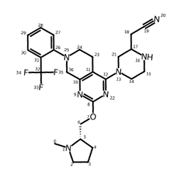 CN1CCC[C@H]1COc1nc2c(c(N3CCNC(CC#N)C3)n1)CCN(c1ccccc1C(F)(F)F)C2